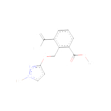 C=C(C)c1cccc(C(=O)OCCC)c1COc1ccn(S)n1